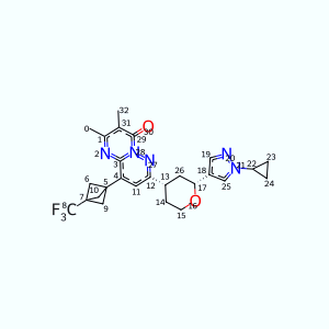 Cc1nc2c(C34CC(C(F)(F)F)(C3)C4)cc([C@H]3CCO[C@@H](c4cnn(C5CC5)c4)C3)nn2c(=O)c1C